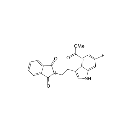 COC(=O)c1cc(F)cc2[nH]cc(CCN3C(=O)c4ccccc4C3=O)c12